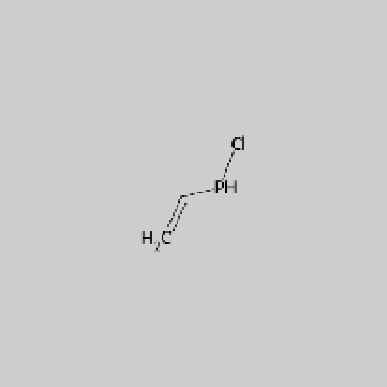 C=CPCl